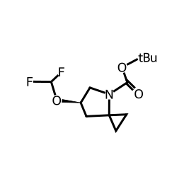 CC(C)(C)OC(=O)N1C[C@H](OC(F)F)CC12CC2